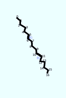 CCCCC/C=C/CCC/C=C/CCCCC